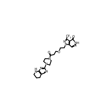 O=C(CCOCCn1nc(C(F)(F)F)c2c(=O)[nH]ncc21)N1CCN(c2ncc3c(n2)NCCC3)CC1